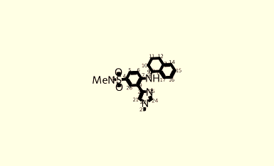 CNS(=O)(=O)c1ccc(N[C@H]2CCCc3ccccc32)c(-c2cn(C)cn2)c1